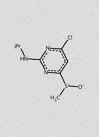 CC(C)Nc1nc(Cl)cc([S+](C)[O-])n1